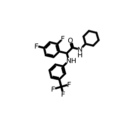 O=C(NC1CCCCC1)C(Nc1cccc(C(F)(F)F)c1)c1ccc(F)cc1F